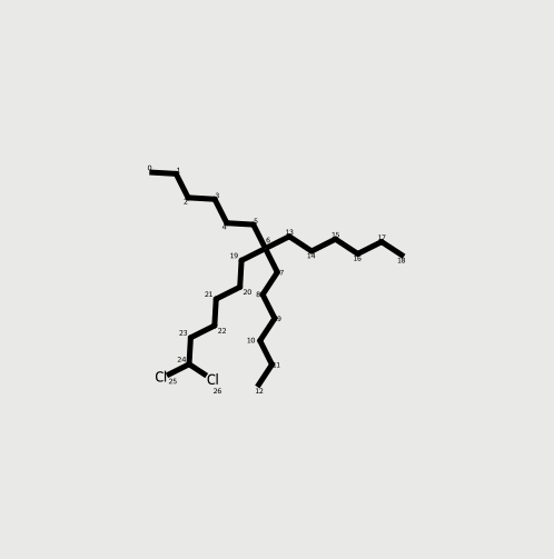 CCCCCCC(CCCCCC)(CCCCCC)CCCCCC(Cl)Cl